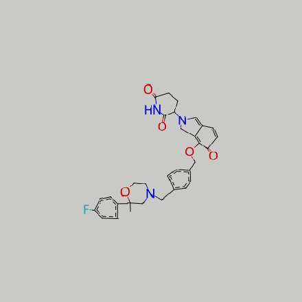 CC1(c2ccc(F)cc2)CN(Cc2ccc(COC3=C4CN(C5CCC(=O)NC5=O)C=C4C=CC3=O)cc2)CCO1